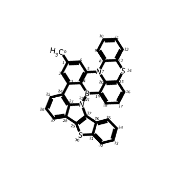 Cc1cc2c3c(c1)N1c4ccccc4Sc4cccc(c41)B3n1c3c-2cccc3c2sc3ccccc3c21